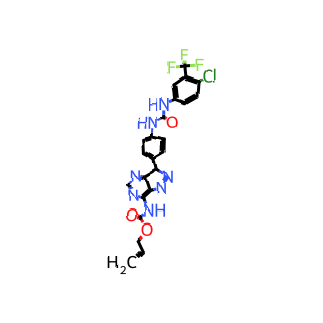 C=CCOC(=O)Nc1ncnc2c1N=NC2c1ccc(NC(=O)Nc2ccc(Cl)c(C(F)(F)F)c2)cc1